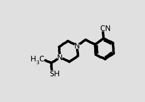 CC(S)N1CCN(Cc2ccccc2C#N)CC1